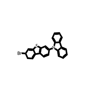 BrC1C=c2sc3cc(-n4c5ccccc5c5ccccc54)ccc3c2=CC1